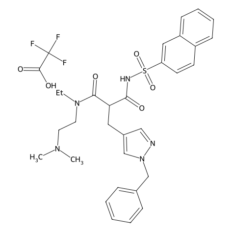 CCN(CCN(C)C)C(=O)C(Cc1cnn(Cc2ccccc2)c1)C(=O)NS(=O)(=O)c1ccc2ccccc2c1.O=C(O)C(F)(F)F